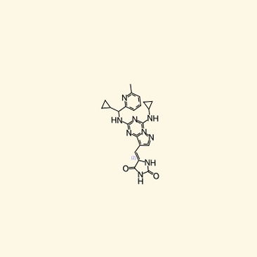 Cc1cccc(C(Nc2nc(NC3CC3)n3ncc(/C=C4\NC(=O)NC4=O)c3n2)C2CC2)n1